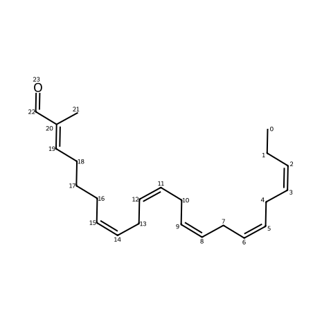 CC/C=C\C/C=C\C/C=C\C/C=C\C/C=C\CCC/C=C(\C)C=O